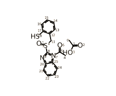 CC(=O)O.CC(=O)n1c([S+]([O-])Cc2ccccc2S)nc2ccccc21